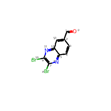 O=Cc1ccc2nc(Br)c(Br)nc2c1